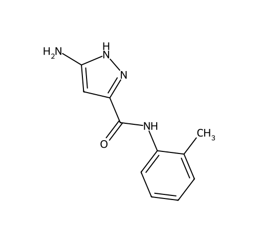 Cc1ccccc1NC(=O)c1cc(N)[nH]n1